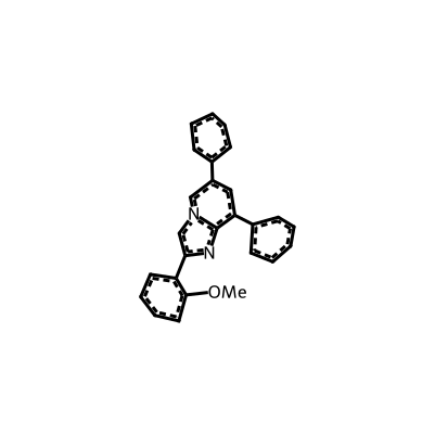 COc1ccccc1-c1cn2cc(-c3ccccc3)cc(-c3ccccc3)c2n1